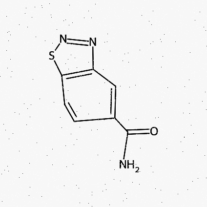 NC(=O)c1ccc2snnc2c1